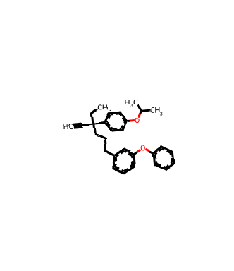 C#CC(CC)(CCCc1cccc(Oc2ccccc2)c1)c1ccc(OC(C)C)cc1